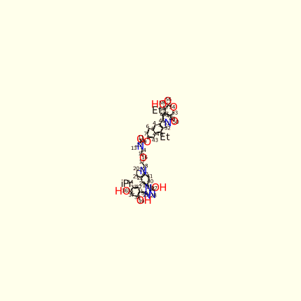 CCc1c2c(cc3ccc(OC(=O)N(C)CCOCCN4CCc5cc(-n6c(O)nnc6-c6cc(C(C)C)c(O)cc6O)ccc54)cc13)-c1cc3c(c(=O)n1C2)COC(=O)C3(O)CC